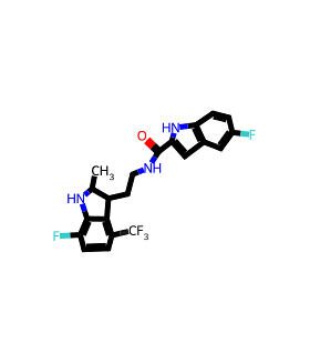 CC1Nc2c(F)ccc(C(F)(F)F)c2C1CCNC(=O)c1cc2cc(F)ccc2[nH]1